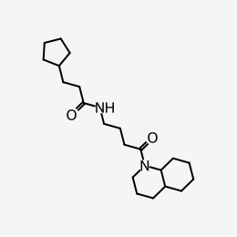 O=C(CCC1CCCC1)NCCCC(=O)N1CCCC2CCCCC21